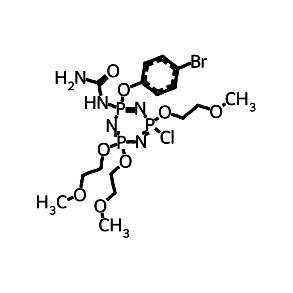 COCCOP1(Cl)=NP(OCCOC)(OCCOC)=NP(NC(N)=O)(Oc2ccc(Br)cc2)=N1